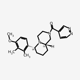 COc1ccc([C@H]2CCC[C@H]3CN(C(=O)c4ccnnc4)CCN32)c(C)c1C